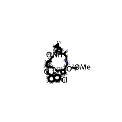 COCCOC1/C=C/CC(C)C(CC2CC2)S(=O)(=O)NC(=O)c2ccc3c(c2)N(CC2CCC21)C[C@@]1(CCCc2cc(Cl)ccc21)CO3